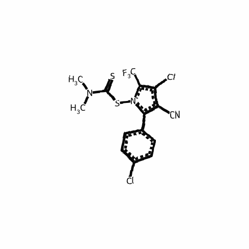 CN(C)C(=S)Sn1c(-c2ccc(Cl)cc2)c(C#N)c(Cl)c1C(F)(F)F